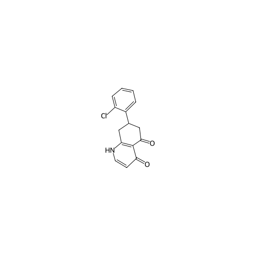 O=C1CC(c2ccccc2Cl)Cc2[nH]ccc(=O)c21